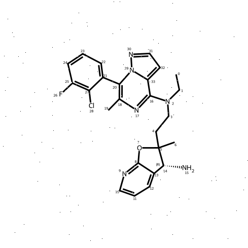 CCN(CCC1(C)Oc2ncccc2[C@H]1N)c1nc(C)c(-c2cccc(F)c2Cl)n2nccc12